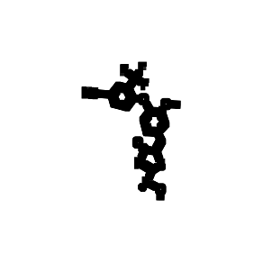 COc1cc(C=C2SC(N(C)OC)=NC2=O)ccc1Oc1ccc(C#N)cc1C(F)(F)F